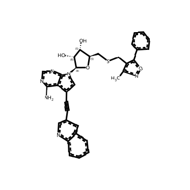 Cc1noc(-c2ccccc2)c1CSC[C@H]1O[C@@H](n2cc(C#Cc3cnc4ccccc4c3)c3c(N)ncnc32)[C@H](O)[C@@H]1O